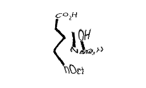 CCCCCCCCCCCC(=O)O.CNC.O=S(=O)(O)O